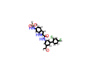 CC(=O)c1cc(NC(=O)c2cc3ccc(NS(C)(=O)=O)cc3[nH]2)cc(-c2ccc(F)cc2F)c1